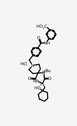 CCCCN1C(=O)[C@@H](CC2(O)CCCCC2)NC(=O)C12CCN(Cc1ccc(C(=O)Nc3cccc(C(=O)O)c3)cc1)CC2.Cl